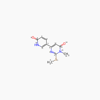 CSc1nc(-c2ccc(=O)[nH]c2)cc(=O)n1C